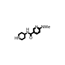 CNc1ccc(C(=O)NC2CCNCC2)cn1